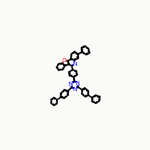 c1ccc(-c2ccc(-c3nc(-c4ccc(-c5ccccc5)cc4)nc(-c4ccc(-c5nc6cc(-c7ccccc7)ccc6c6oc7ccccc7c56)cc4)n3)cc2)cc1